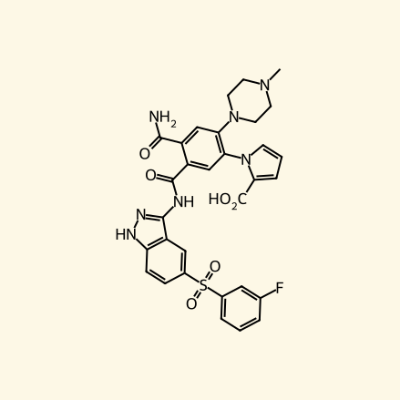 CN1CCN(c2cc(C(N)=O)c(C(=O)Nc3n[nH]c4ccc(S(=O)(=O)c5cccc(F)c5)cc34)cc2-n2cccc2C(=O)O)CC1